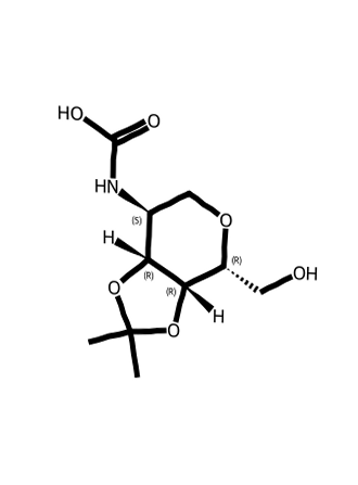 CC1(C)O[C@@H]2[C@H](O1)[C@@H](NC(=O)O)CO[C@@H]2CO